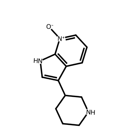 [O-][n+]1cccc2c(C3CCCNC3)c[nH]c21